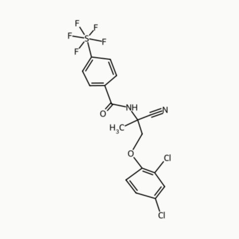 CC(C#N)(COc1ccc(Cl)cc1Cl)NC(=O)c1ccc(S(F)(F)(F)(F)F)cc1